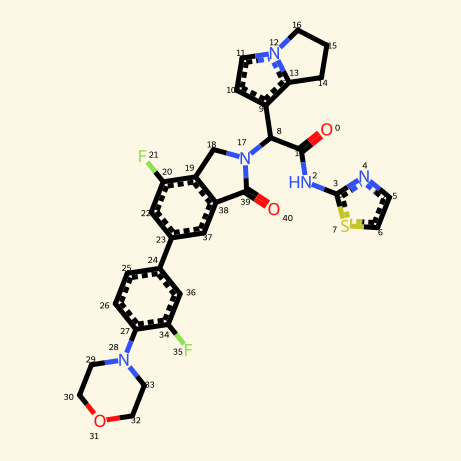 O=C(Nc1nccs1)C(c1ccn2c1CCC2)N1Cc2c(F)cc(-c3ccc(N4CCOCC4)c(F)c3)cc2C1=O